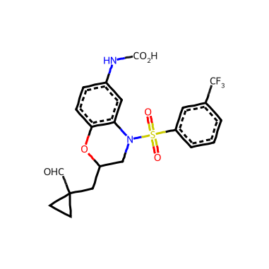 O=CC1(CC2CN(S(=O)(=O)c3cccc(C(F)(F)F)c3)c3cc(NC(=O)O)ccc3O2)CC1